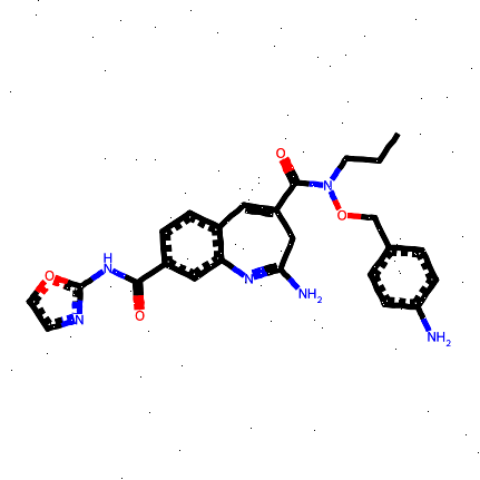 CCCN(OCc1ccc(N)cc1)C(=O)C1=Cc2ccc(C(=O)Nc3ncco3)cc2N=C(N)C1